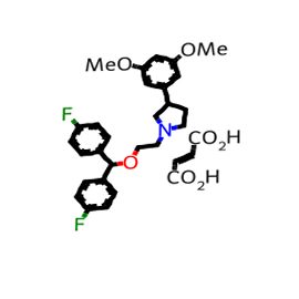 COc1cc(OC)cc(C2CCN(CCOC(c3ccc(F)cc3)c3ccc(F)cc3)C2)c1.O=C(O)C=CC(=O)O